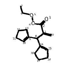 C=C(C(=O)OOCC)C(C1=CCCC1)C1=CCCC1